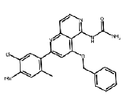 Cc1cc(C(C)(C)C)c(Cl)cc1-c1cc(OCc2ccccc2)c2c(NC(N)=O)nccc2n1